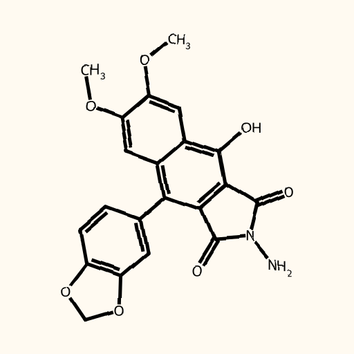 COc1cc2c(O)c3c(c(-c4ccc5c(c4)OCO5)c2cc1OC)C(=O)N(N)C3=O